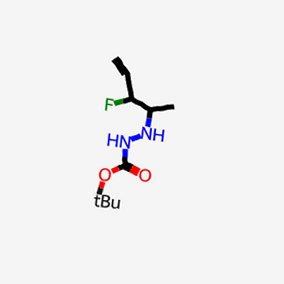 C=CC(F)C(C)NNC(=O)OC(C)(C)C